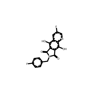 O=C1c2c(c(O)c3ncc(F)cc3c2O)C(=O)N1Cc1ccc(F)cc1